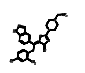 O=C1N=C(N2CCN(CC(F)(F)F)CC2)SC1=C(Cc1ccc(Cl)cc1C(F)(F)F)c1ccc2[nH]ncc2c1